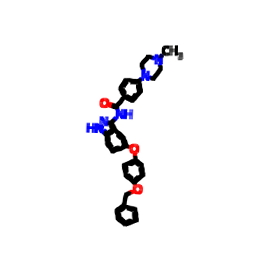 CN1CCN(c2ccc(C(=O)Nc3n[nH]c4ccc(Oc5ccc(OCc6ccccc6)cc5)cc34)cc2)CC1